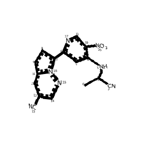 CC(C#N)Nc1cc(-c2ccc3cc(C#N)cnn23)ncc1[N+](=O)[O-]